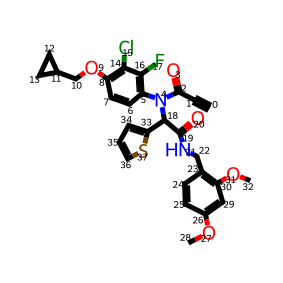 C#CC(=O)N(c1ccc(OCC2CC2)c(Cl)c1F)C(C(=O)NCc1ccc(OC)cc1OC)c1cccs1